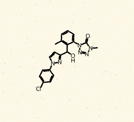 Cc1cccc(-n2nnn(C)c2=O)c1C(O)c1ccn(-c2ccc(Cl)cc2)n1